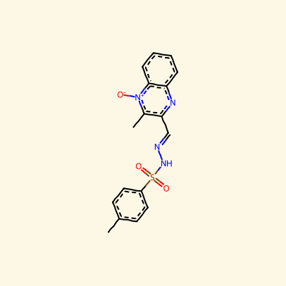 Cc1ccc(S(=O)(=O)NN=Cc2nc3ccccc3[n+]([O-])c2C)cc1